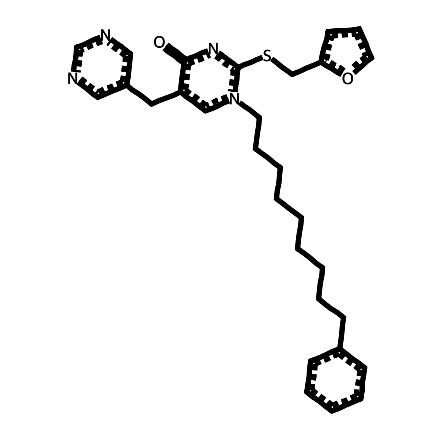 O=c1nc(SCc2ccco2)n(CCCCCCCCCc2ccccc2)cc1Cc1cncnc1